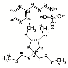 CCCC[N+](CCCC)(CCCC)CCCC.O=S(=O)([O-])/N=C\C=C\c1ccccc1